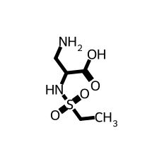 CCS(=O)(=O)NC(CN)C(=O)O